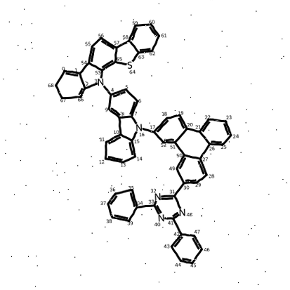 C1=c2c(n(-c3ccc4c(c3)c3ccccc3n4-c3ccc4c5ccccc5c5ccc(-c6nc(-c7ccccc7)nc(-c7ccccc7)n6)cc5c4c3)c3c2ccc2c4ccccc4sc23)=CCC1